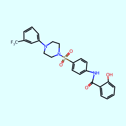 O=C(Nc1ccc(S(=O)(=O)N2CCN(c3cccc(C(F)(F)F)c3)CC2)cc1)c1ccccc1O